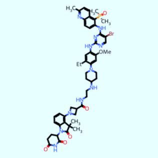 CCc1cc(Nc2ncc(Br)c(Nc3ccc4nc(C)ccc4c3P(C)(C)=O)n2)c(OC)cc1N1CCC(NCCNC(=O)C2CN(c3cccc4c3C(C)(C)C(=O)N4C3CCC(=O)NC3=O)C2)CC1